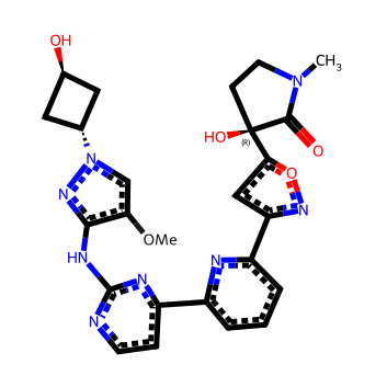 COc1cn([C@H]2C[C@H](O)C2)nc1Nc1nccc(-c2cccc(-c3cc([C@]4(O)CCN(C)C4=O)on3)n2)n1